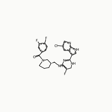 O=C(c1ccc(F)c(F)c1)N1CCC[C@H](CNC2=C(F)CNC(c3c[nH]c4ncc(Cl)cc34)=N2)C1